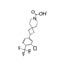 O=C(O)N1CCC2(CC1)CC(c1ccc(C(F)(F)F)c(Cl)c1)C2